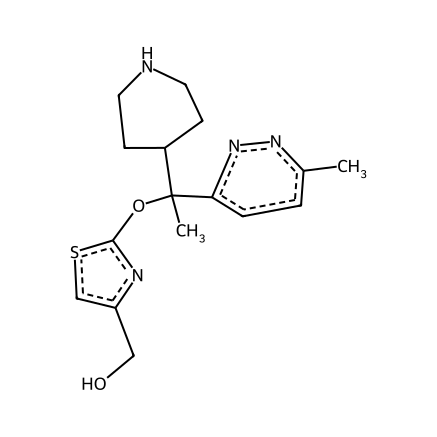 Cc1ccc(C(C)(Oc2nc(CO)cs2)C2CCNCC2)nn1